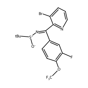 CC(C)(C)[S+]([O-])/N=C(\c1ccc(OC(F)(F)F)c(F)c1)c1ncccc1Br